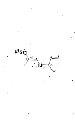 C=C/C(C)=N\C=C(/C)OC